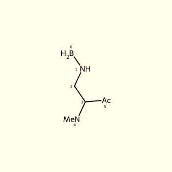 BNCC(NC)C(C)=O